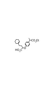 CCOC(=O)C(C)c1ccc(OC(CCC2=CCCCC2)C(=O)O)cc1